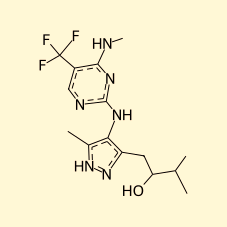 CNc1nc(Nc2c(CC(O)C(C)C)n[nH]c2C)ncc1C(F)(F)F